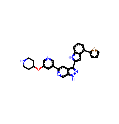 c1csc(-c2cccc3[nH]c(-c4n[nH]c5cnc(-c6cncc(OC7CCNCC7)c6)cc45)cc23)c1